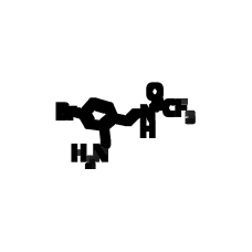 NCc1cc(Br)ccc1CCNC(=O)C(F)(F)F